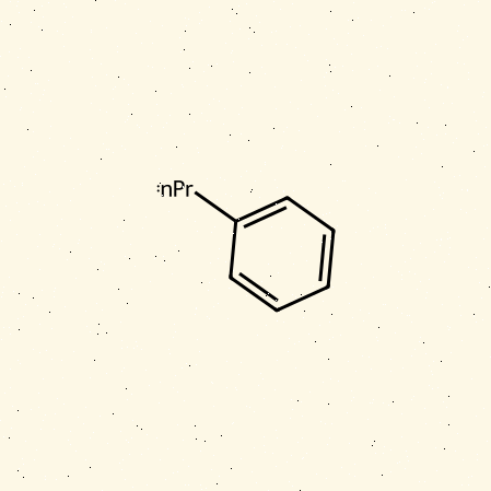 CC[C]c1ccccc1